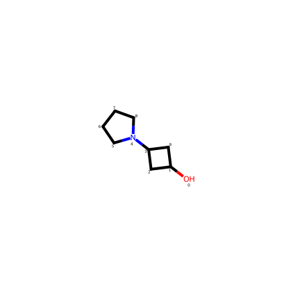 OC1CC(N2CCCC2)C1